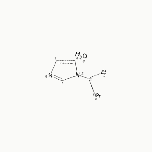 CCCC(CC)n1ccnc1.O